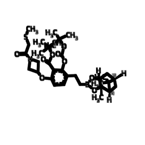 CSCC(=O)N1CC(Oc2ccc(CCB3O[C@@H]4C[C@@H]5C[C@@H](C5(C)C)[C@]4(C)O3)c(OC(=O)OC(C)(C)C)c2C(=O)OC(C)(C)C)C1